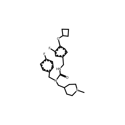 CN1CCC(CN(Cc2ccc(F)cc2)C(=O)NCc2ccc(OC3CCC3)c(F)c2)CC1